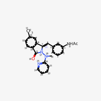 CC(=O)Nc1cccc(/C=C2/c3cc(C(F)(F)F)ccc3C(=O)N2N(C)c2ccccn2)c1